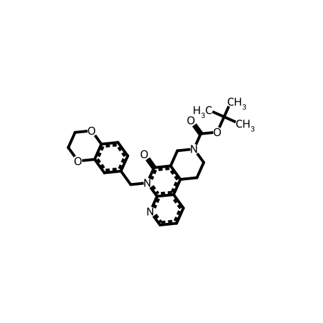 CC(C)(C)OC(=O)N1CCc2c(c(=O)n(Cc3ccc4c(c3)OCCO4)c3ncccc23)C1